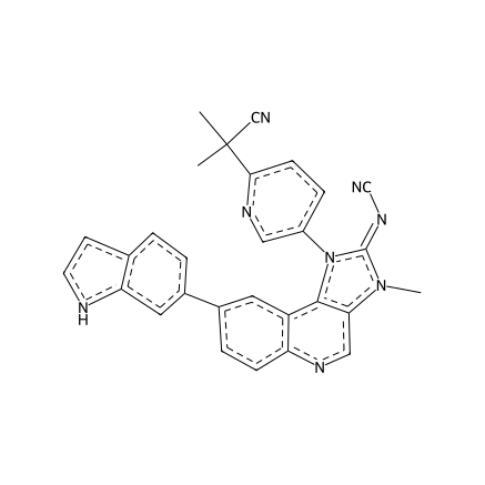 Cn1/c(=N/C#N)n(-c2ccc(C(C)(C)C#N)nc2)c2c3cc(-c4ccc5cc[nH]c5c4)ccc3ncc21